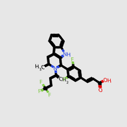 C=C(CCC(F)(F)F)N1C(C)Cc2c([nH]c3ccccc23)C1c1c(F)cc(/C=C/C(=O)O)cc1F